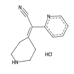 Cl.N#CC(=C1CCNCC1)c1ccccn1